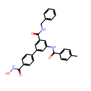 Cc1ccc(C(=O)Nc2cc(C(=O)NCc3ccccc3)cc(-c3ccc(C(=O)NO)cc3)c2)cc1